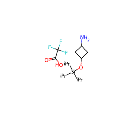 CC(C)[Si](OC1CC(N)C1)(C(C)C)C(C)C.O=C(O)C(F)(F)F